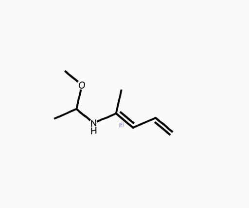 C=C/C=C(\C)NC(C)OC